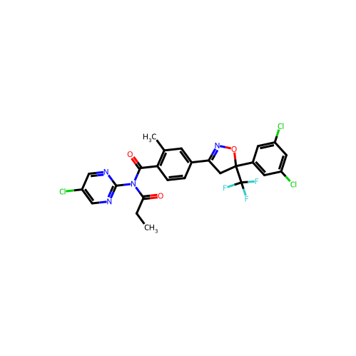 CCC(=O)N(C(=O)c1ccc(C2=NOC(c3cc(Cl)cc(Cl)c3)(C(F)(F)F)C2)cc1C)c1ncc(Cl)cn1